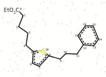 CCOC(=O)CCCCc1ccc(CCCc2ccccc2)s1